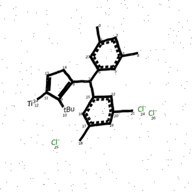 Cc1cc(C)cc(C(C2=C(C(C)(C)C)[C]([Ti+3])=CC2)c2cc(C)cc(C)c2)c1.[Cl-].[Cl-].[Cl-]